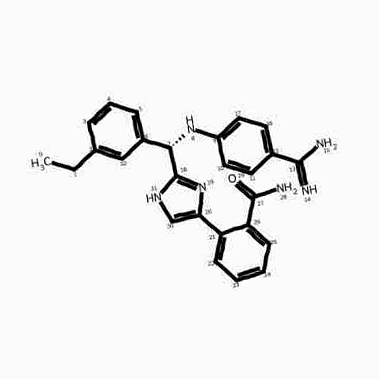 CCc1cccc([C@H](Nc2ccc(C(=N)N)cc2)c2nc(-c3ccccc3C(N)=O)c[nH]2)c1